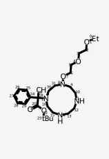 CCOCCOCCON1CCNCCNCCN(C(C)(C(=O)OC(C)(C)C)c2ccccc2)CC1